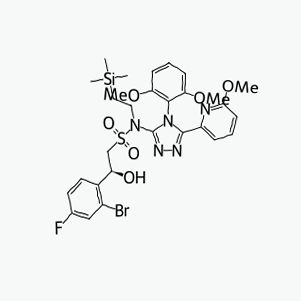 COc1cccc(-c2nnc(N(CC[Si](C)(C)C)S(=O)(=O)C[C@@H](O)c3ccc(F)cc3Br)n2-c2c(OC)cccc2OC)n1